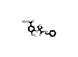 COC(=O)c1ccc([N+](=O)[O-])c(OC2(C(=O)NCc3ccccc3)COC2)c1